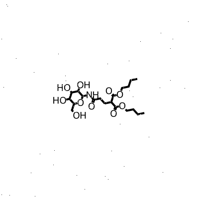 CCCCOC(=O)C(CCC(=O)NC1OC(CO)C(O)C(O)C1O)C(=O)OCCCC